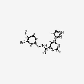 Cc1nc(C(=O)NCc2ccc(F)c(Br)c2)cc(-c2nn[nH]n2)n1